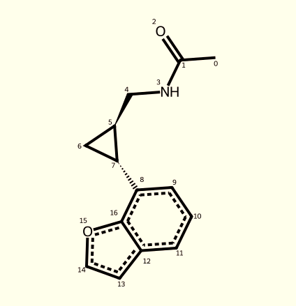 CC(=O)NC[C@@H]1C[C@H]1c1cccc2ccoc12